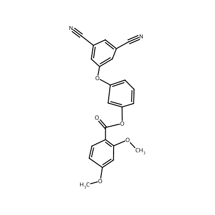 COc1ccc(C(=O)Oc2cccc(Oc3cc(C#N)cc(C#N)c3)c2)c(OC)c1